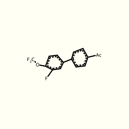 CC(=O)c1ccc(-c2ccc(OC(F)(F)F)c(F)c2)cc1